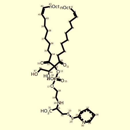 CCCCCCCC/C=C\CCCCCCCC(=O)C(OP(=O)(O)OCCNC(CSSc1ccccn1)C(=O)O)(C(=O)CCCCCCC/C=C\CCCCCCCC)[C@@H](O)CO